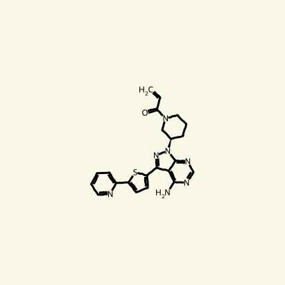 C=CC(=O)N1CCC[C@@H](n2nc(-c3ccc(-c4ccccn4)s3)c3c(N)ncnc32)C1